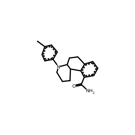 Cc1ccc(N2CCCC3c4c(cccc4C(N)=O)CCC32)cc1